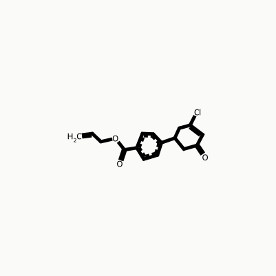 C=CCOC(=O)c1ccc(C2CC(=O)C=C(Cl)C2)cc1